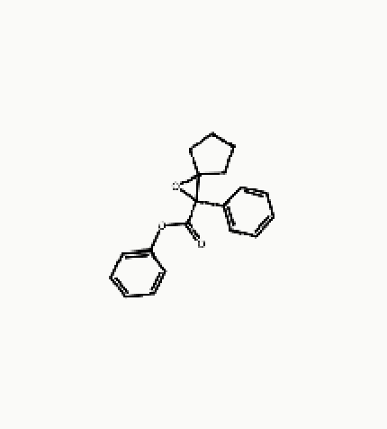 O=C(Oc1ccccc1)C1(c2ccccc2)OC12CCCC2